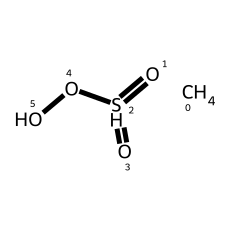 C.O=[SH](=O)OO